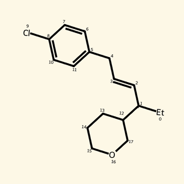 CC[C](C=CCc1ccc(Cl)cc1)C1CCCOC1